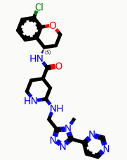 Cn1c(CNC2CC(C(=O)N[C@H]3CCOc4c(Cl)cccc43)CCN2)nnc1-c1ccncn1